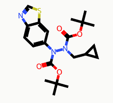 CC(C)(C)OC(=O)N(CC1CC1)N(C(=O)OC(C)(C)C)c1ccc2ncsc2c1